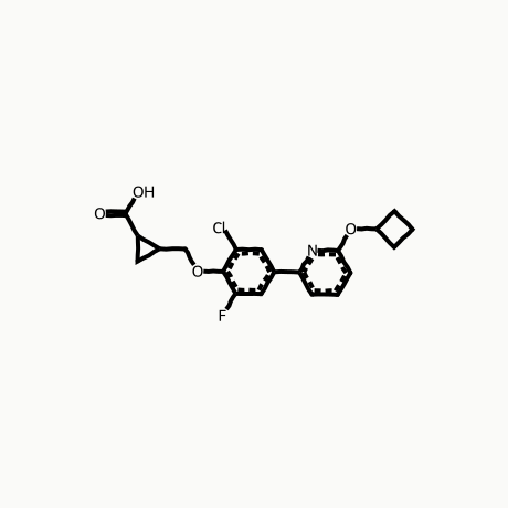 O=C(O)C1CC1COc1c(F)cc(-c2cccc(OC3CCC3)n2)cc1Cl